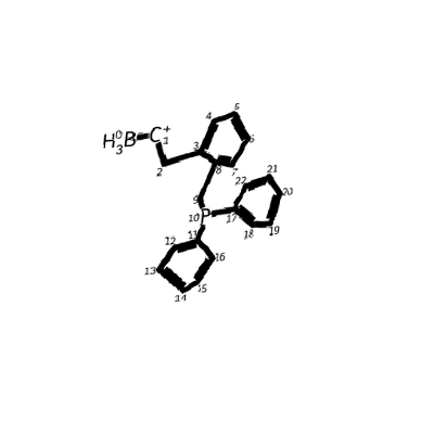 [BH3-][CH+]Cc1ccccc1CP(c1ccccc1)c1ccccc1